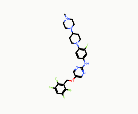 CN1CCN(C2CCN(c3ccc(Nc4ncc(OCc5c(F)c(F)cc(F)c5F)cn4)cc3F)CC2)CC1